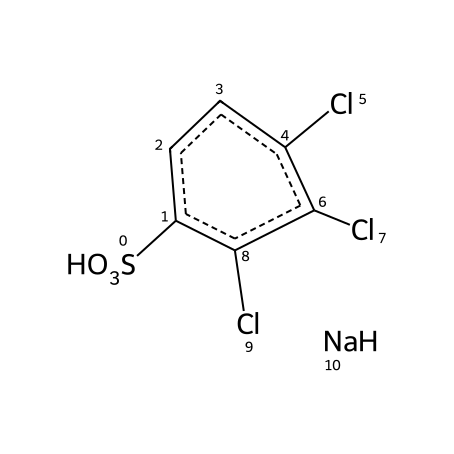 O=S(=O)(O)c1ccc(Cl)c(Cl)c1Cl.[NaH]